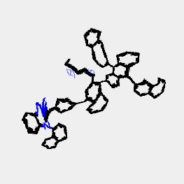 C/C=C\C=C/c1cc(-c2ccc(-c3nc4ccccc4n3-c3cccc4ccccc34)cc2)c2ccccc2c1-c1ccc2c(-c3ccc4ccccc4c3)c3ccccc3c(-c3ccc4ccccc4c3)c2c1